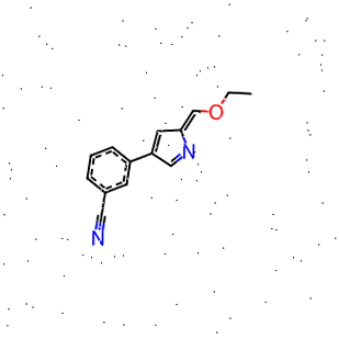 CCOC=C1C=C(c2cccc(C#N)c2)C=N1